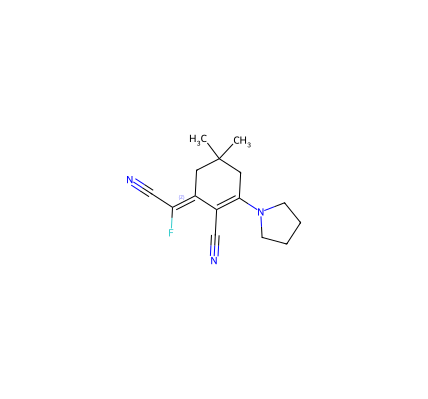 CC1(C)CC(N2CCCC2)=C(C#N)/C(=C(\F)C#N)C1